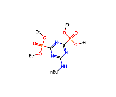 CCCCNc1nc(P(=O)(OCC)OCC)nc(P(=O)(OCC)OCC)n1